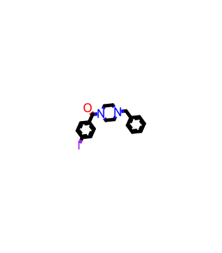 O=C(c1ccc(I)cc1)N1CCN(Cc2ccccc2)CC1